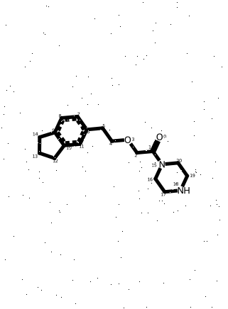 O=C(COCCc1ccc2c(c1)CCC2)N1CCNCC1